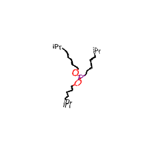 CC(C)CCCCCOP(CCCCCC(C)C)OCCCCCC(C)C